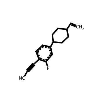 C=CC1CCC(c2ccc(C#CC#N)c(F)c2)CC1